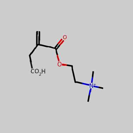 C=C(CC(=O)O)C(=O)OCC[N+](C)(C)C